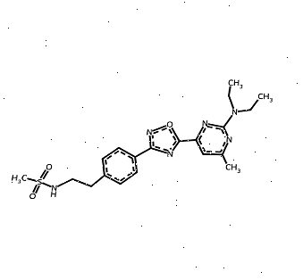 CCN(CC)c1nc(C)cc(-c2nc(-c3ccc(CCNS(C)(=O)=O)cc3)no2)n1